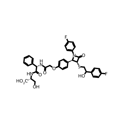 O=C(COc1ccc([C@@H]2[C@H](SCC(O)c3ccc(F)cc3)C(=O)N2c2ccc(F)cc2)cc1)N[C@H](C(=O)N[C@H](CO)C(=O)O)c1ccccc1